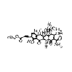 CCCCOC(=O)/C=C/c1ccc2c(c1O)C(=O)C1=C(O)[C@@]3(O)C(=O)C(C(N)=O)=C(O)[C@@H](N(C)C)[C@H]3[C@H](O)[C@@H]1[C@@H]2C